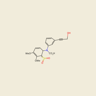 COC1=C(OC)C(=S(=O)=O)C(N(C(=O)O)c2cccc(C#CCO)c2)C=C1